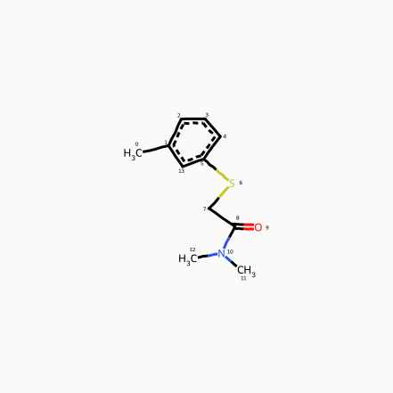 Cc1cccc(SCC(=O)N(C)C)c1